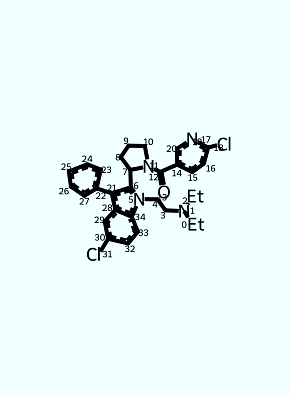 CCN(CC)CCn1c(C2CCCN2C(=O)c2ccc(Cl)nc2)c(-c2ccccc2)c2cc(Cl)ccc21